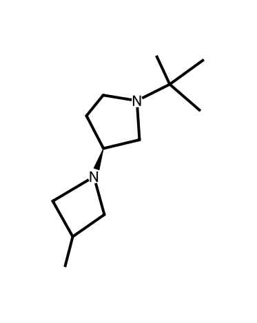 CC1CN([C@H]2CCN(C(C)(C)C)C2)C1